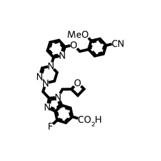 COc1cc(C#N)ccc1COc1cccc(N2C=NN(Cc3nc4c(F)cc(C(=O)O)cc4n3CC3CCO3)CC2)n1